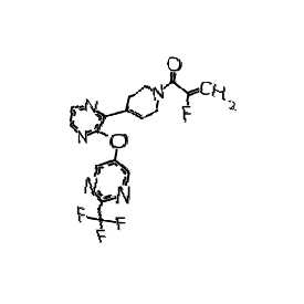 C=C(F)C(=O)N1CC=C(c2nccnc2Oc2cnc(C(F)(F)F)nc2)CC1